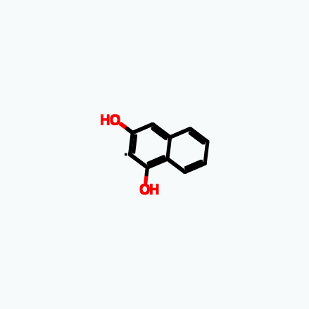 Oc1[c]c(O)c2ccccc2c1